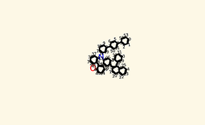 c1ccc(-c2ccc(-c3cccc(N(c4ccc(-c5ccc6ccccc6c5-c5ccccc5)cc4)c4cccc5oc6ccccc6c45)c3)cc2)cc1